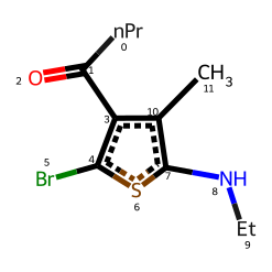 CCCC(=O)c1c(Br)sc(NCC)c1C